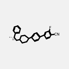 C[C@@H](CC1CCC(c2ccc(-c3ccc(C#N)c(F)c3)cc2)CC1)c1ccccc1